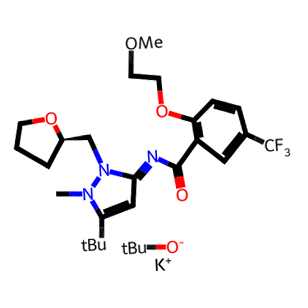 CC(C)(C)[O-].COCCOc1ccc(C(F)(F)F)cc1C(=O)N=c1cc(C(C)(C)C)n(C)n1C[C@H]1CCCO1.[K+]